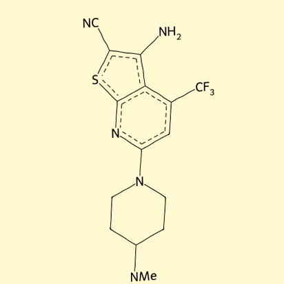 CNC1CCN(c2cc(C(F)(F)F)c3c(N)c(C#N)sc3n2)CC1